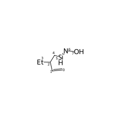 C=CC(CC)C[SiH]=NO